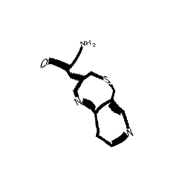 NC(=O)C1N=C2CC=NC=C2S1